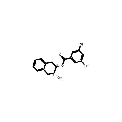 O=C(O[C@H]1Cc2ccccc2C[C@H]1O)c1cc(O)cc(O)c1